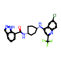 O=C(N[C@H]1CC[C@@H](Nc2cc(C(F)(F)F)nc3ccc(Cl)cc23)CC1)c1cccc2cn[nH]c12